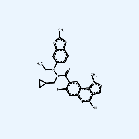 CCN(c1ccc2nc(C)sc2c1)N(CC1CC1)C(=O)c1cc2c(cc1F)nc(N)c1cnn(C)c12